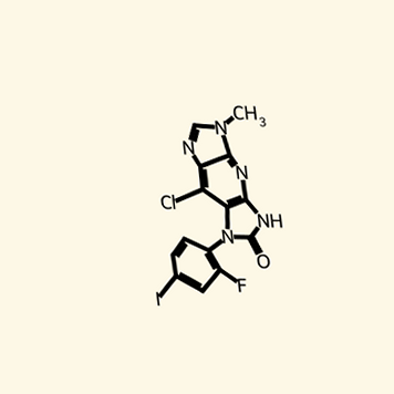 Cn1cnc2c(Cl)c3c(nc21)[nH]c(=O)n3-c1ccc(I)cc1F